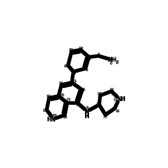 NCC1=CC(c2cc(NC3CCNCC3)c3c(c2)=CCNC=3)CC=C1